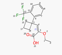 CCO/C(=C/C1(c2ccccc2C(F)(F)F)CCC1)C(=O)O